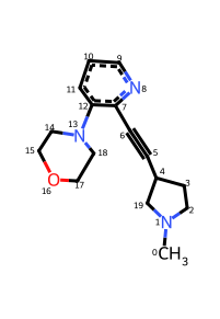 CN1CCC(C#Cc2ncccc2N2CCOCC2)C1